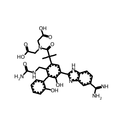 CC(C)(C(=O)N(CC(=O)O)CC(=O)O)c1cc(-c2nc3cc(C(=N)N)ccc3[nH]2)c(O)c(-c2ccccc2O)c1CNC(N)=O